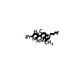 CNc1nc(C(C)C)ccc1-c1nc2c(C)cn(CCCF)c2cc1C